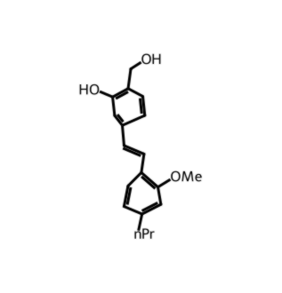 CCCc1ccc(/C=C/c2ccc(CO)c(O)c2)c(OC)c1